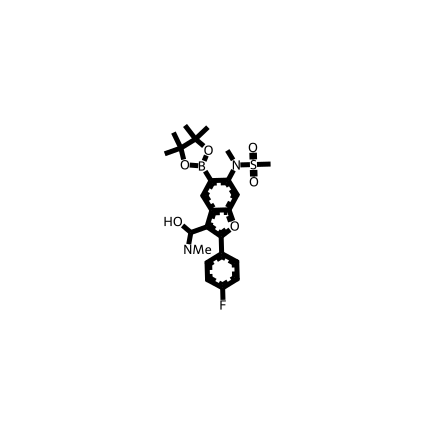 CNC(O)c1c(-c2ccc(F)cc2)oc2cc(N(C)S(C)(=O)=O)c(B3OC(C)(C)C(C)(C)O3)cc12